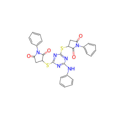 O=C1CC(Sc2nc(Nc3ccccc3)nc(SC3CC(=O)N(c4ccccc4)C3=O)n2)C(=O)N1c1ccccc1